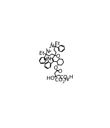 CCC(CCC1(CCC(CC)(c2ccccc2)N(C)C)OC2CCCC(OC(=O)CC(O)(CC(=O)O)C(=O)O)C2c2c1[nH]c1ccccc21)(c1ccccc1)N(C)C